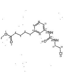 COC(=O)CCCCc1cccc(NC(=O)NCCCl)c1